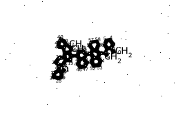 C=Cc1ccccc1C(=C)c1c2c(c(-c3ccc(-c4cc5c(ccc6c7ccccc7oc56)c5c4C(C)(C)c4ccccc4-5)c4ccccc34)c3ccccc13)=CCCC=2